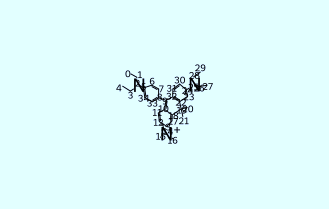 CCN(CC)c1ccc(C2=C3C=CC(=[N+](C)C)C=C3C(C)(C)c3cc(N(CC)CC)ccc32)cc1